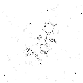 CC(C)C(N)C(=O)c1nnc(C(C)(C)c2ccccc2)o1